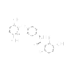 Cc1ccc(C(F)(F)F)c(Oc2ccc(NC(=O)c3c(F)ccc(C)c3F)cc2)n1